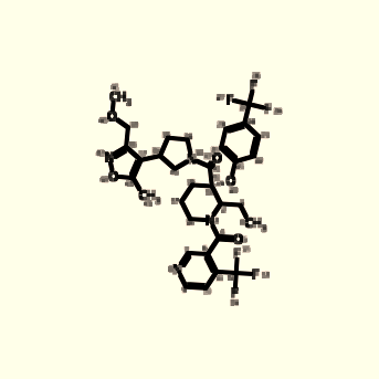 CCC1N(C(=O)c2cnccc2C(F)(F)F)CCC[C@@]1(Oc1ccc(C(F)(F)F)cc1)C(=O)N1CCC(c2c(COC)noc2C)C1